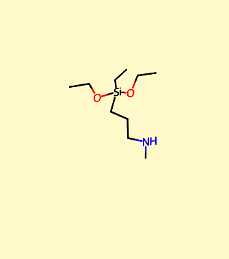 CCO[Si](CC)(CCCNC)OCC